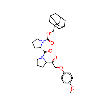 COc1ccc(OCC(=O)[C@@H]2CCCN2C(=O)[C@@H]2CCCN2C(=O)OCC23CC4CC(CC(C4)C2)C3)cc1